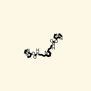 O=C(NCCCc1cccc(CCCNC(=O)OC2CCn3ccnc32)n1)OC1CCn2ccnc21